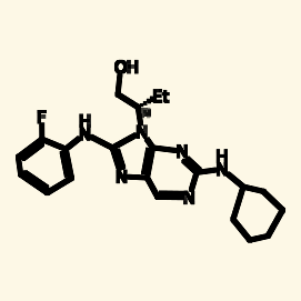 CC[C@@H](CO)n1c(Nc2ccccc2F)nc2cnc(NC3CCCCC3)nc21